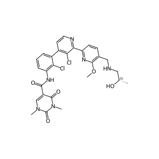 COc1nc(-c2nccc(-c3cccc(NC(=O)c4cn(C)c(=O)n(C)c4=O)c3Cl)c2Cl)ccc1CNC[C@H](C)O